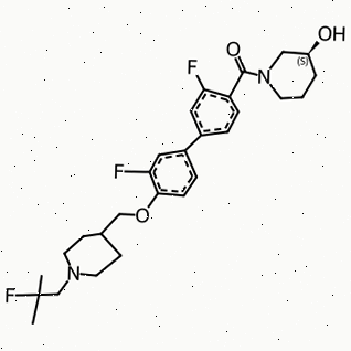 CC(C)(F)CN1CCC(COc2ccc(-c3ccc(C(=O)N4CCC[C@H](O)C4)c(F)c3)cc2F)CC1